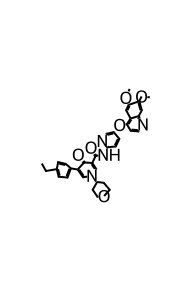 CCc1ccc(-c2cn(C3CCOCC3)cc(C(=O)Nc3ccc(Oc4ccnc5cc(OC)c(OC)cc45)cn3)c2=O)cc1